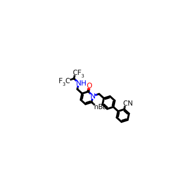 CCCCc1ccc(CNC(C(F)(F)F)C(F)(F)F)c(=O)n1Cc1ccc(-c2ccccc2C#N)cc1